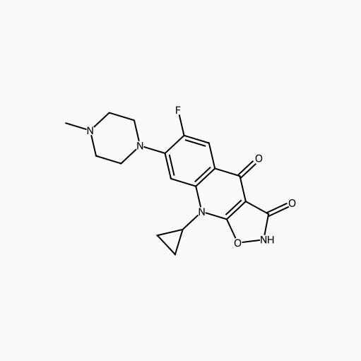 CN1CCN(c2cc3c(cc2F)c(=O)c2c(=O)[nH]oc2n3C2CC2)CC1